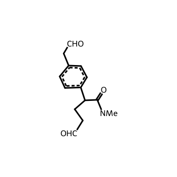 CNC(=O)C(CCC=O)c1ccc(CC=O)cc1